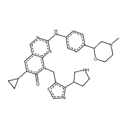 CN1CCOC(c2ccc(Nc3ncc4cc(C5CC5)c(=O)n(Cc5scnc5C5CCNC5)c4n3)cc2)C1